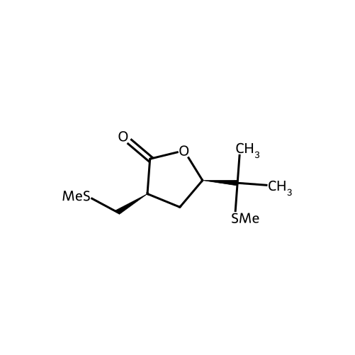 CSC[C@@H]1C[C@H](C(C)(C)SC)OC1=O